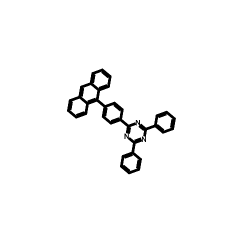 c1ccc(-c2nc(-c3ccccc3)nc(-c3ccc(-c4c5ccccc5cc5ccccc45)cc3)n2)cc1